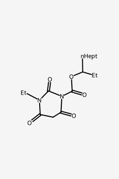 CCCCCCCC(CC)OC(=O)N1C(=O)CC(=O)N(CC)C1=O